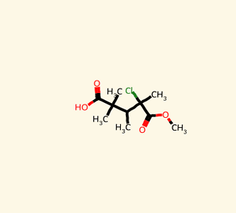 COC(=O)C(C)(Cl)C(C)C(C)(C)C(=O)O